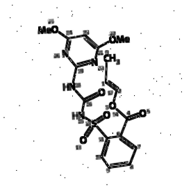 CC=COC(=O)c1ccccc1S(=O)(=O)NC(=O)Nc1nc(OC)cc(OC)n1